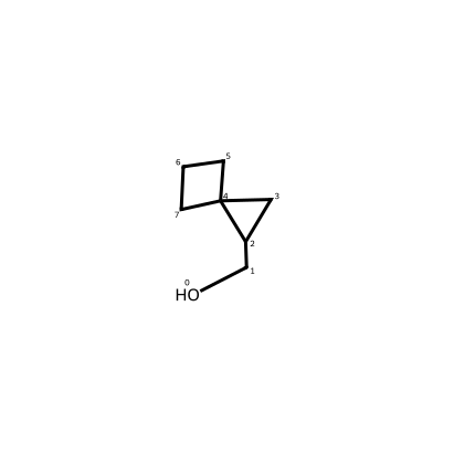 OCC1CC12CCC2